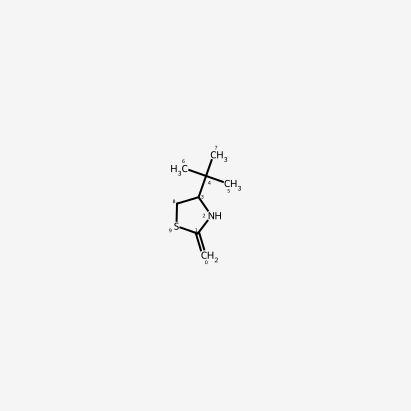 C=C1NC(C(C)(C)C)CS1